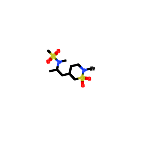 CC(CC1CCN(C(C)C)S(=O)(=O)C1)N(C)S(C)(=O)=O